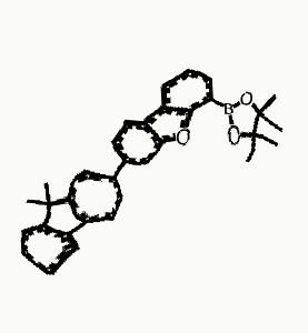 CC1(C)c2ccccc2-c2ccc(-c3ccc4c(c3)oc3c(B5OC(C)(C)C(C)(C)O5)cccc34)cc21